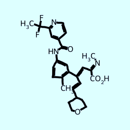 C\N=C(/C=C(\C=C\C1CCOCC1)c1cc(NC(=O)c2ccnc(C(C)(F)F)c2)ccc1C)C(=O)O